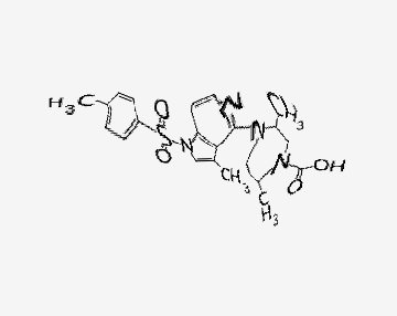 Cc1ccc(S(=O)(=O)n2cc(C)c3c(N4CC(C)N(C(=O)O)CC4C)nccc32)cc1